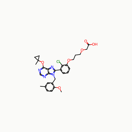 COc1ccc(C)cc1Cn1c(-c2cccc(OCCCOCC(=O)O)c2Cl)nc2c(OC3(C)CC3)ncnc21